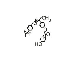 CCC(=NOCc1ccc(C(F)(F)F)cc1)c1ccc(OCC(=O)N2CCC(O)CC2)cc1